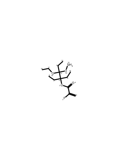 C=C(F)C(=O)OC(CC)(CC)C(CC)(O[SiH3])OCC